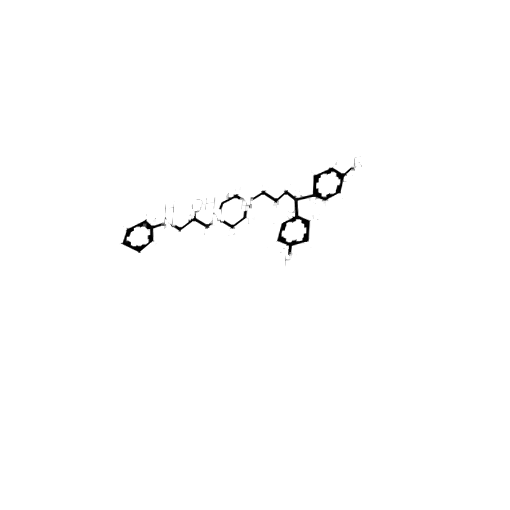 O[C@H](CNc1ccccc1)CN1CCN(CCCC(c2ccc(F)cc2)c2ccc(F)cc2)CC1